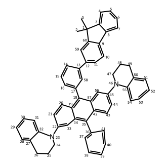 CC1(C)c2ccccc2-c2ccc(-c3cccc(-c4c5ccc(N6CCCc7ccccc76)cc5c(-c5ccccc5)c5ccc(N6CCCc7ccccc76)cc45)c3)cc21